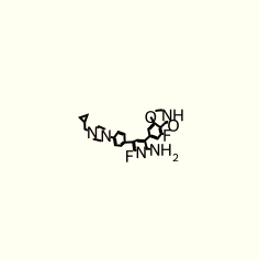 Nc1nc(F)c(-c2ccc(N3CCN(CC4CC4)CC3)cc2)cc1-c1cc(F)c2c(c1)OCCNC2=O